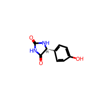 O=C1NC(=O)[C@@H](c2ccc(O)cc2)N1